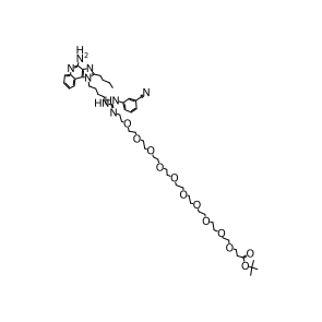 CCCCc1nc2c(N)nc3ccccc3c2n1CCCCN/C(=N/CCOCCOCCOCCOCCOCCOCCOCCOCCOCCOCCC(=O)OC(C)(C)C)Nc1cccc(C#N)c1